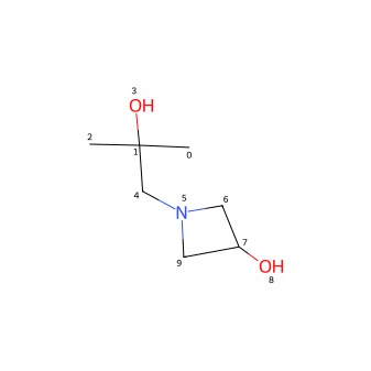 CC(C)(O)CN1CC(O)C1